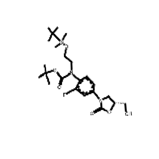 CC(C)(C)OC(=O)N(CCO[Si](C)(C)C(C)(C)C)c1ccc(N2C[C@H](CO)OC2=O)cc1F